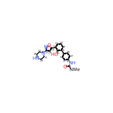 CNC(=O)Nc1ccc(-c2cccc(-c3cc(N4CCNCC4)no3)c2O)cc1